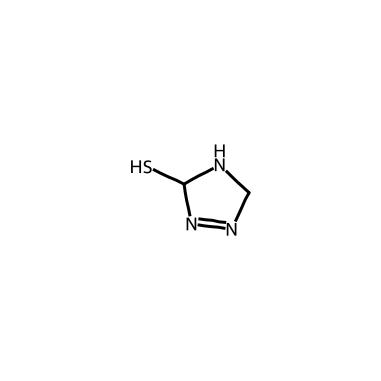 SC1N=NCN1